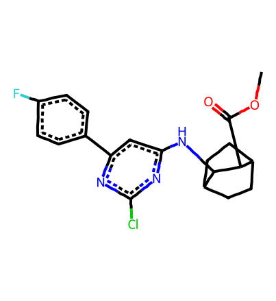 COC(=O)C1C2CCC(CC2)C1Nc1cc(-c2ccc(F)cc2)nc(Cl)n1